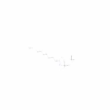 CCCCCCCCCCCCCCCCCC(O)NC1(CO)COC(C)(C)OC1